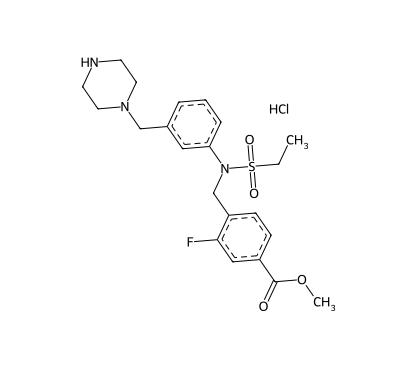 CCS(=O)(=O)N(Cc1ccc(C(=O)OC)cc1F)c1cccc(CN2CCNCC2)c1.Cl